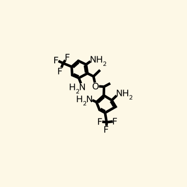 CC(OC(C)c1c(N)cc(C(F)(F)F)cc1N)c1c(N)cc(C(F)(F)F)cc1N